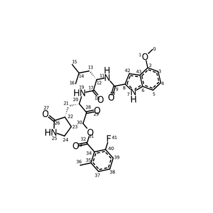 COc1cccc2[nH]c(C(=O)N[C@@H](CC(C)C)C(=O)N[C@@H](C[C@@H]3CCNC3=O)C(=O)COC(=O)c3c(C)cccc3F)cc12